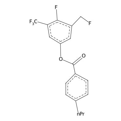 CCCc1ccc(C(=O)Oc2cc(CF)c(F)c(C(F)(F)F)c2)cc1